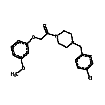 COc1cccc(OCC(=O)N2CCN(Cc3ccc(Cl)cc3)CC2)c1